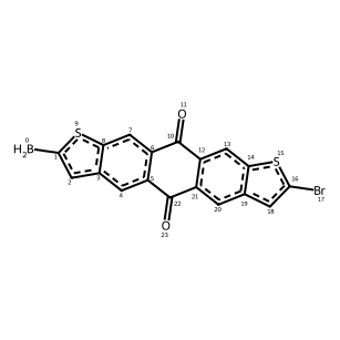 Bc1cc2cc3c(cc2s1)C(=O)c1cc2sc(Br)cc2cc1C3=O